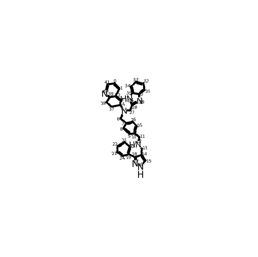 C1=CC2=CC(N(Cc3ccc(CNCc4c[nH]nc4-c4ccccc4)cc3)Cc3nc4ccccc4[nH]3)CCC2N=C1